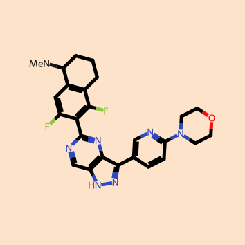 CNC1CCCc2c1cc(F)c(-c1ncc3[nH]nc(-c4ccc(N5CCOCC5)nc4)c3n1)c2F